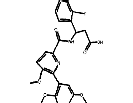 COc1ccc(OC)c(-c2nc(C(=O)NC(CC(=O)O)c3ccccc3F)ccc2OC)c1